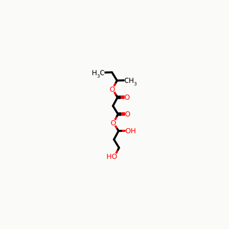 CCC(C)OC(=O)CC(=O)OC(O)CCO